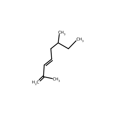 C=C(C)C=CCC(C)CC